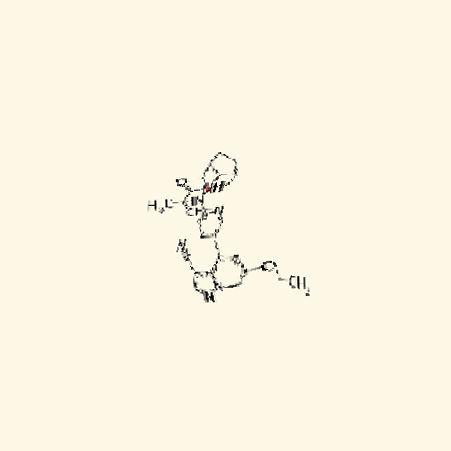 C=C(C)C(=O)NC1C2CCC1CC(Nc1ccc(-c3cc(OCC)cn4ncc(C#N)c34)cn1)C2